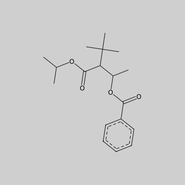 CC(C)OC(=O)C(C(C)OC(=O)c1ccccc1)C(C)(C)C